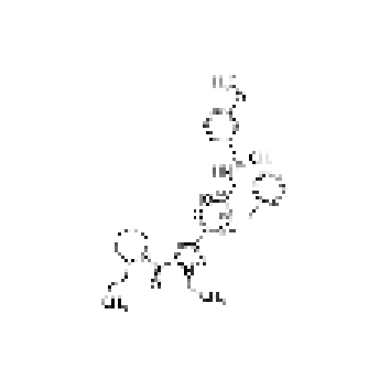 CCCC1CCCCN1C(=O)c1cc(C(=O)N[C@@H](Cc2ccccc2)[C@@H](O)CN[C@@H](C)c2cccc(OC)c2)nn1CC